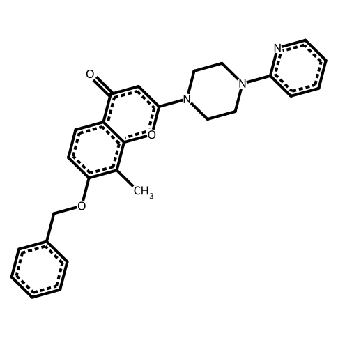 Cc1c(OCc2ccccc2)ccc2c(=O)cc(N3CCN(c4ccccn4)CC3)oc12